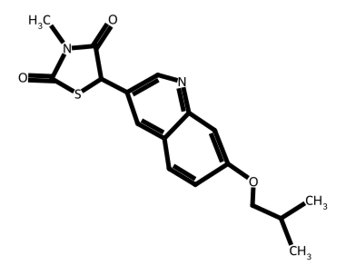 CC(C)COc1ccc2cc(C3SC(=O)N(C)C3=O)cnc2c1